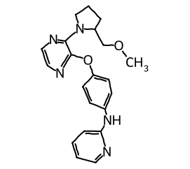 COCC1CCCN1c1nccnc1Oc1ccc(Nc2ccccn2)cc1